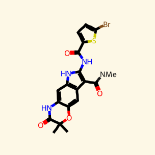 CNC(=O)c1c(NC(=O)c2ccc(Br)s2)[nH]c2cc3c(cc12)OC(C)(C)C(=O)N3